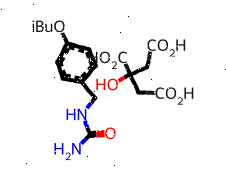 CC(C)COc1ccc(CNC(N)=O)cc1.O=C(O)CC(O)(CC(=O)O)C(=O)O